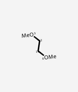 CO[CH]COC